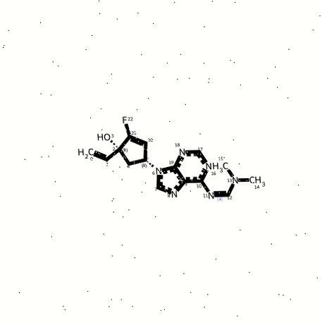 C=C[C@]1(O)C[C@@H](n2cnc3c(/N=C\N(C)C)ncnc32)C=C1F